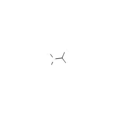 CCC(C#N)[SiH](C)C.F